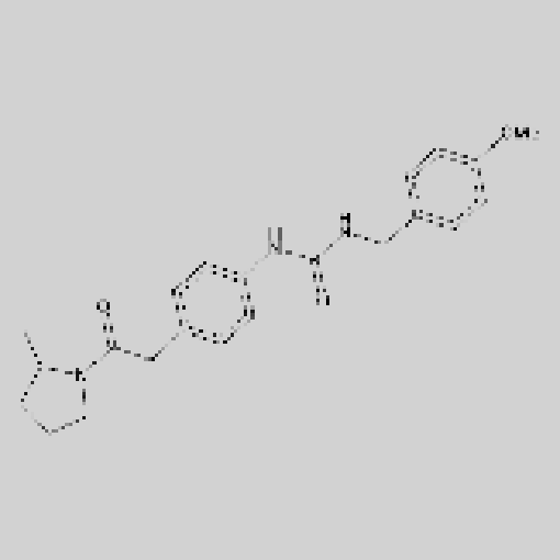 COc1ccc(CNC(=O)Nc2ccc(CC(=O)N3CCCC3C)cc2)cc1